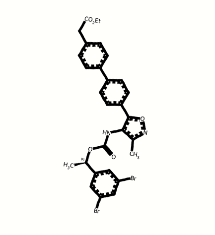 CCOC(=O)Cc1ccc(-c2ccc(-c3onc(C)c3NC(=O)O[C@H](C)c3cc(Br)cc(Br)c3)cc2)cc1